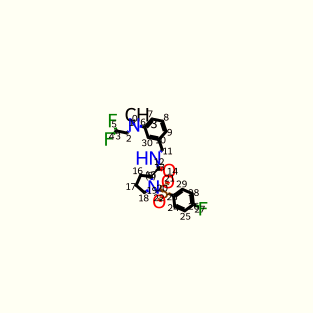 CN(CC(F)F)c1cccc(CNC(=O)[C@@H]2CCCN2S(=O)(=O)c2ccc(F)cc2)c1